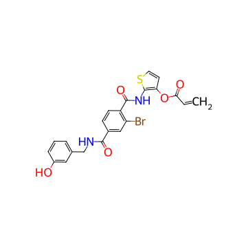 C=CC(=O)Oc1ccsc1NC(=O)c1ccc(C(=O)NCc2cccc(O)c2)cc1Br